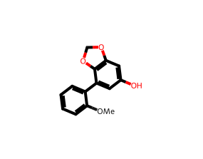 COc1ccccc1-c1cc(O)cc2c1OCO2